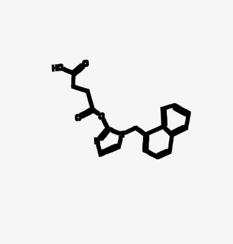 O=C(O)CCC(=O)Oc1nccn1Cc1cccc2ccccc12